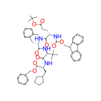 Cc1ccccc1C[C@H](NC(=O)[C@H](CCC(=O)OC(C)(C)C)NC(=O)OCC1c2ccccc2-c2ccccc21)C(=O)N[C@H](C(=O)N[C@@H](CC1CCCC1)C(=O)OCc1ccccc1)C(C)(C)C